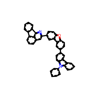 c1ccc(-n2c3ccccc3c3cc(-c4ccc5oc6ccc(-c7cc8cccc9c8c(n7)-c7ccccc7-9)cc6c5c4)ccc32)cc1